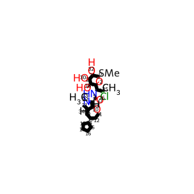 CSC1O[C@H]([C@H](NC(=O)[C@@H]2[C@@H]3OCC[C@H](C4CCCC4)C[C@H]3CN2C)[C@H](C)Cl)[C@@H](O)C(O)[C@H]1O